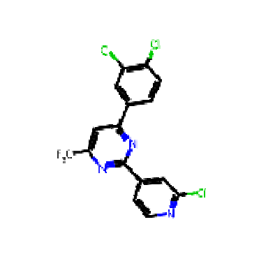 FC(F)(F)c1cc(-c2ccc(Cl)c(Cl)c2)nc(-c2ccnc(Cl)c2)n1